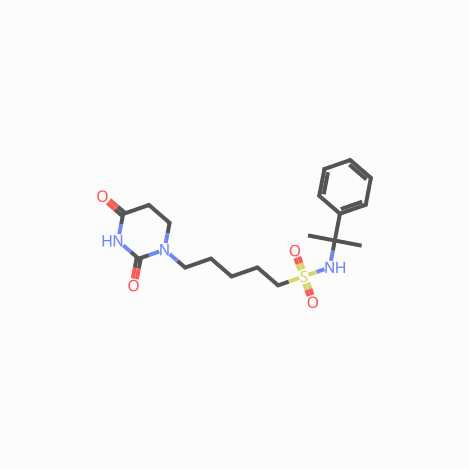 CC(C)(NS(=O)(=O)CCCCCN1CCC(=O)NC1=O)c1ccccc1